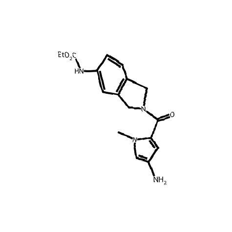 CCOC(=O)Nc1ccc2c(c1)CN(C(=O)c1cc(N)cn1C)C2